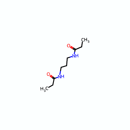 CCC(=O)NCCCNC(=O)CC